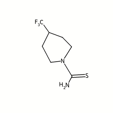 NC(=S)N1CCC(C(F)(F)F)CC1